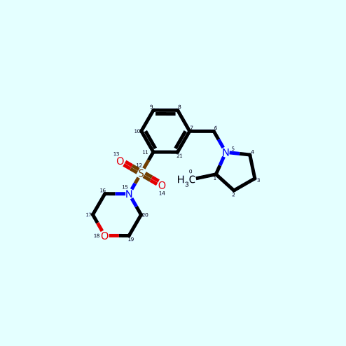 CC1CCCN1Cc1cccc(S(=O)(=O)N2CCOCC2)c1